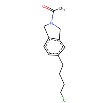 O=C(N1Cc2ccc(CCCCCl)cc2C1)C(F)(F)F